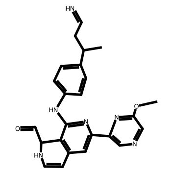 COc1cncc(-c2cc3c(c(Nc4ccc(C(C)CC=N)cc4)n2)C(C=O)NC=C3)n1